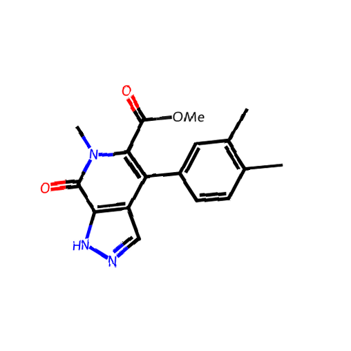 COC(=O)c1c(-c2ccc(C)c(C)c2)c2cn[nH]c2c(=O)n1C